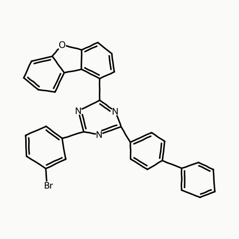 Brc1cccc(-c2nc(-c3ccc(-c4ccccc4)cc3)nc(-c3cccc4oc5ccccc5c34)n2)c1